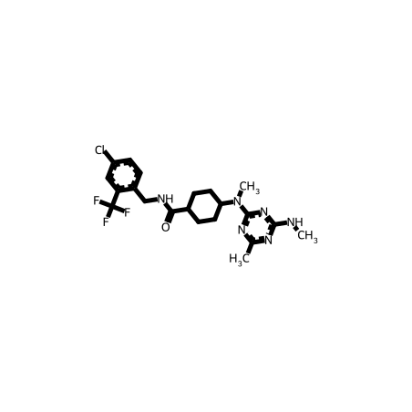 CNc1nc(C)nc(N(C)C2CCC(C(=O)NCc3ccc(Cl)cc3C(F)(F)F)CC2)n1